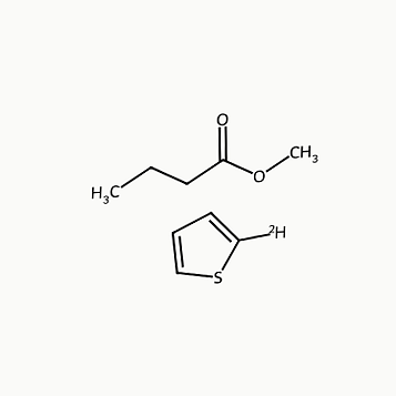 CCCC(=O)OC.[2H]c1cccs1